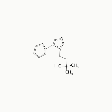 CC(C)(C)[CH]Cn1cncc1-c1ccccc1